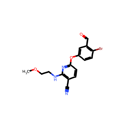 COCCNc1nc(Oc2ccc(Br)c(C=O)c2)ccc1C#N